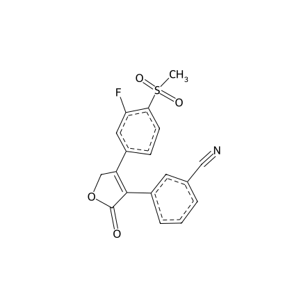 CS(=O)(=O)c1ccc(C2=C(c3cccc(C#N)c3)C(=O)OC2)cc1F